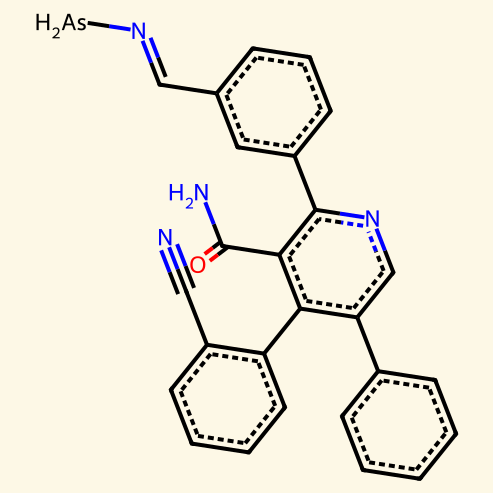 N#Cc1ccccc1-c1c(-c2ccccc2)cnc(-c2cccc(C=N[AsH2])c2)c1C(N)=O